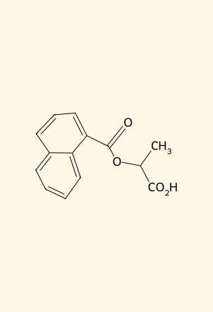 CC(OC(=O)c1cccc2ccccc12)C(=O)O